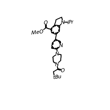 COC(=O)c1cc(-c2ccc(N3CCN(C(=O)CC(C)(C)C)CC3)nc2)cc2c1CCN2C(C)C